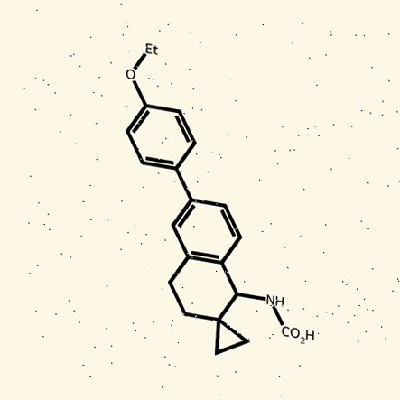 CCOc1ccc(-c2ccc3c(c2)CCC2(CC2)C3NC(=O)O)cc1